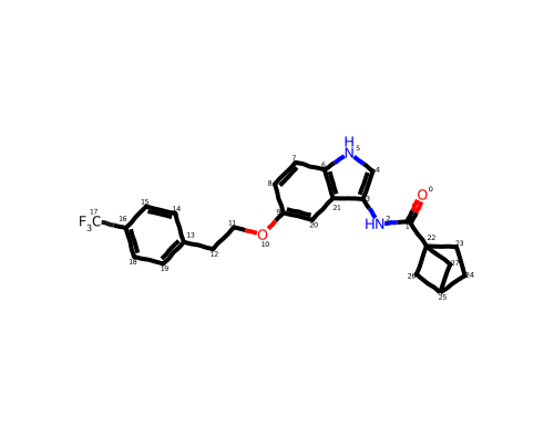 O=C(Nc1c[nH]c2ccc(OCCc3ccc(C(F)(F)F)cc3)cc12)C12CCC(C1)C2